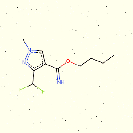 CCCCOC(=N)c1cn(C)nc1C(F)F